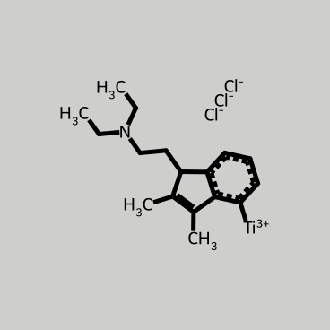 CCN(CC)CCC1C(C)=C(C)c2[c]([Ti+3])cccc21.[Cl-].[Cl-].[Cl-]